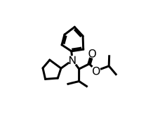 CC(C)OC(=O)C(C(C)C)N(c1ccccc1)C1CCCC1